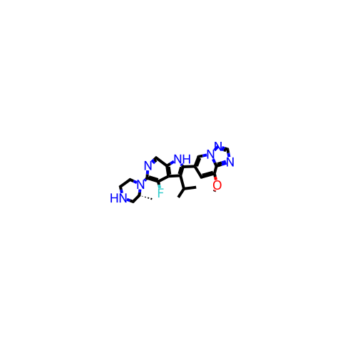 COc1cc(-c2[nH]c3cnc(N4CCNC[C@H]4C)c(F)c3c2C(C)C)cn2ncnc12